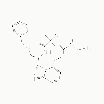 CC(C)CN(C)C(=O)OCC1=CC=CC2=NN=C([C@@H](COCc3ccccc3)NC(=O)C(C)(C)N)C12